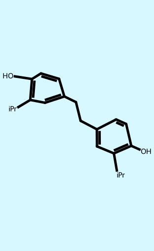 CC(C)c1cc(CCc2ccc(O)c(C(C)C)c2)ccc1O